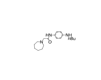 CCCCNc1ccc(NC(=O)CN2CCCCCC2)cc1